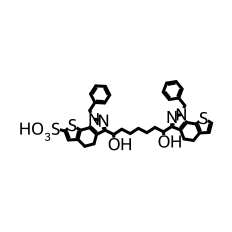 O=S(=O)(O)c1cc2c(s1)-c1c(c(C(O)CCCCCC(O)c3nn(Cc4ccccc4)c4c3CCc3ccsc3-4)nn1Cc1ccccc1)CC2